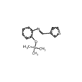 C[Si](C)(C)Oc1ccccc1N=Cc1ccsc1